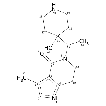 Cc1c[nH]c2c1C(=O)N(C(C)C1(O)CCNCC1)CC2